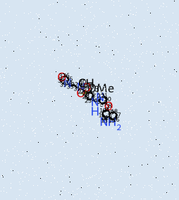 COc1cc(Nc2cc(Oc3ccc(N)c4ccccc34)ccn2)ccc1S(=O)(=O)N(C)CCCN1CCOCC1